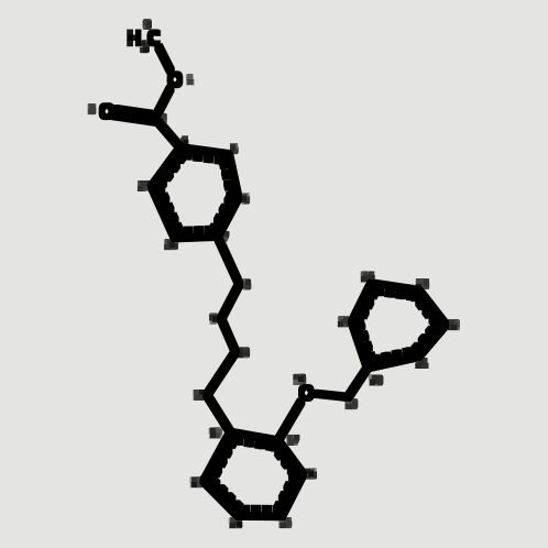 COC(=O)c1ccc(CCCCc2ccccc2OCc2ccccc2)cc1